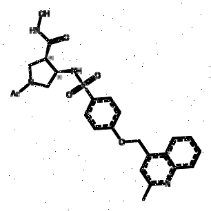 CC(=O)N1C[C@H](NS(=O)(=O)c2ccc(OCc3cc(C)nc4ccccc34)cc2)[C@H](C(=O)NO)C1